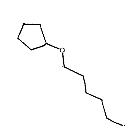 [CH2]CCCC[CH]OC1CCCC1